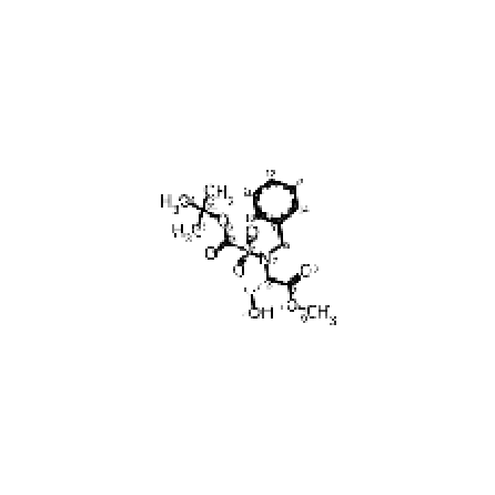 COC(=O)[C@H](CO)N(Cc1ccccc1)S(=O)(=O)C(=O)OC(C)(C)C